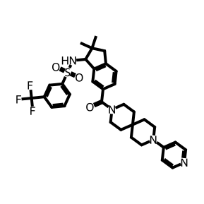 CC1(C)Cc2ccc(C(=O)N3CCC4(CC3)CCN(c3ccncc3)CC4)cc2C1NS(=O)(=O)c1cccc(C(F)(F)F)c1